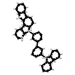 c1cc(-c2cccc(-n3c4ccc5c6ccccc6sc5c4c4cccnc43)c2)cc(-n2c3ccccc3c3ccccc32)c1